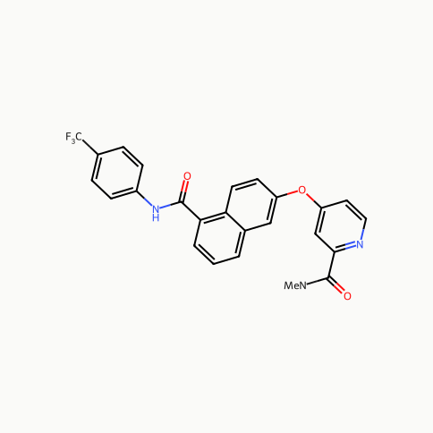 CNC(=O)c1cc(Oc2ccc3c(C(=O)Nc4ccc(C(F)(F)F)cc4)cccc3c2)ccn1